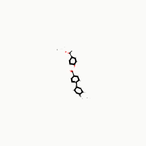 CCCCCCCCCCOC(C)c1ccc(OC(=O)c2ccc(-c3ccc(CCCCCC)cc3)cc2)cc1